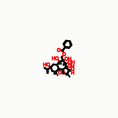 C=C(C)[C@@]1(O)CC2[C@H](O)[C@@](O)(COC(=O)c3ccccc3)[C@@H](O)[C@@]3(O)C(C[C@H](C)[C@@H]3O)[C@@]2(O)[C@H](C)C1